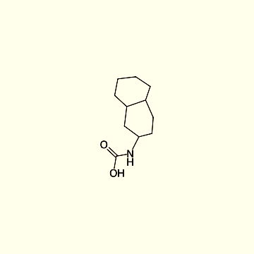 O=C(O)NC1CCC2CCCCC2C1